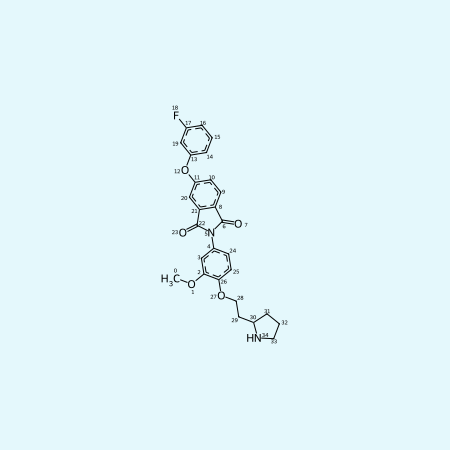 COc1cc(N2C(=O)c3ccc(Oc4cccc(F)c4)cc3C2=O)ccc1OCCC1CCCN1